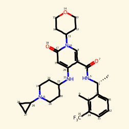 Cc1c([C@@H](C)NC(=O)c2cn(C3CCOCC3)c(=O)cc2NC2CCN(C3CC3)CC2)cccc1C(F)(F)F